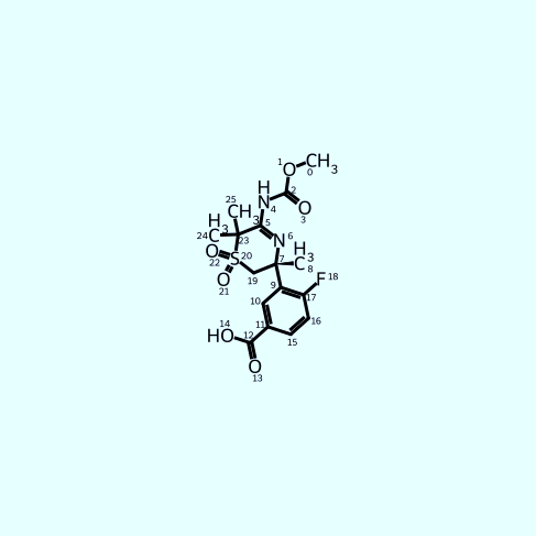 COC(=O)NC1=N[C@](C)(c2cc(C(=O)O)ccc2F)CS(=O)(=O)C1(C)C